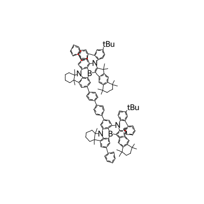 CC(C)(C)c1ccc(N2C3=C(B4c5cc(-c6ccc(-c7ccc(-c8cc9c%10c(c8)N8c%11c(cc(-c%12ccccc%12)cc%11C%11(C)CCCCC8%11C)B%10c8c(sc%10cc%11c(cc8%10)C(C)(C)CCC%11(C)C)N9c8ccc(C(C)(C)C)cc8-c8ccccc8)cc7)cc6)cc6c5N(c5cc(-c7ccccc7)cc2c54)C2(C)CCCCC62C)c2cc4c(cc2C3(C)C)C(C)(C)CCC4(C)C)c(-c2ccccc2)c1